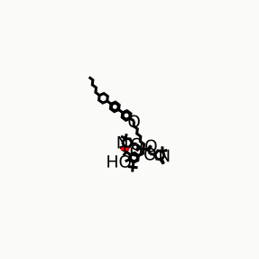 C=C1CC(OC(=O)C(CCCCCCOc2ccc(-c3ccc(C4CCC(CCCCC)CC4)cc3)cc2)(Cc2cc(C(C)(C)C)c(O)c(C(C)(C)C)c2)C(=O)OC2CC(C)(C)N(C)C(C)(C)C2)CC(C)(C)N1C